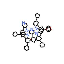 c1ccc(-c2ccc3c(c2)c2cc(-c4ccccc4)ccc2n3-c2nc(-n3c4ccccc4c4cnccc43)c(-n3c4ccc(-c5ccccc5)cc4c4cc(-c5ccccc5)ccc43)c(-c3ccccc3)c2-n2c3ccc(-c4ccccc4)cc3c3cc(-c4ccccc4)ccc32)cc1